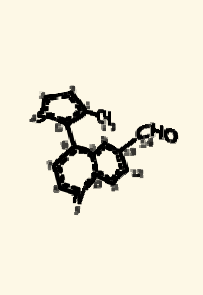 Cc1ccsc1-c1ccnc2ccc(C=O)cc12